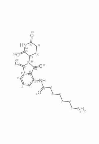 NCCCCCCC(=O)Nc1cccc2c1C(=O)N(C1CCC(=O)NC1=O)C2=O